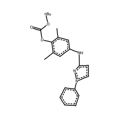 CCCCOC(=O)Oc1c(C)cc(Nc2ccn(-c3ccccc3)n2)cc1C